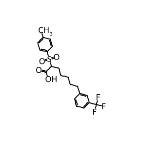 Cc1ccc(S(=O)(=O)C(CCCCCc2cccc(C(F)(F)F)c2)C(=O)O)cc1